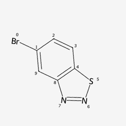 Brc1ccc2snnc2c1